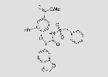 CCCc1cc(C(=O)OC)ccc1OC(C(=O)NS(=O)(=O)Cc1ccccc1)c1ccc2c(c1)OCO2